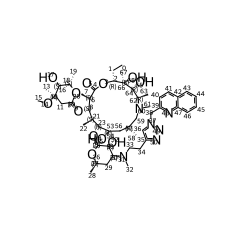 CC[C@H]1OC(=O)[C@H](C)[C@@H](O[C@H]2C[C@@](C)(OC)[C@@H](O)[C@H](C)O2)[C@H](C)[C@@H](O[C@@H]2O[C@H](C)C[C@H](N(C)CCc3cn(Cc4ccc5ccccc5n4)nn3)[C@H]2O)[C@](C)(O)C[C@@H](C)CN(C)[C@H](C)[C@@H](O)[C@]1(C)O